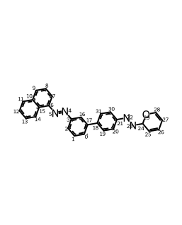 [c]1ccc(N=Nc2cccc3ccccc23)cc1-c1ccc(N=NC2C=CC=CO2)cc1